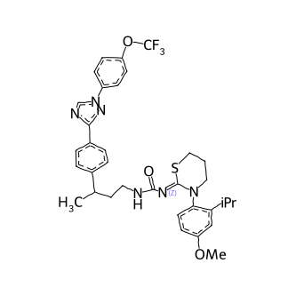 COc1ccc(N2CCCS/C2=N\C(=O)NCCC(C)c2ccc(-c3ncn(-c4ccc(OC(F)(F)F)cc4)n3)cc2)c(C(C)C)c1